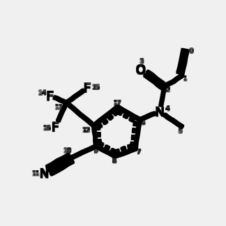 C=CC(=O)N(C)c1ccc(C#N)c(C(F)(F)F)c1